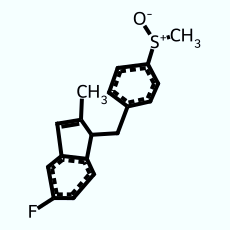 CC1=Cc2cc(F)ccc2C1Cc1ccc([S+](C)[O-])cc1